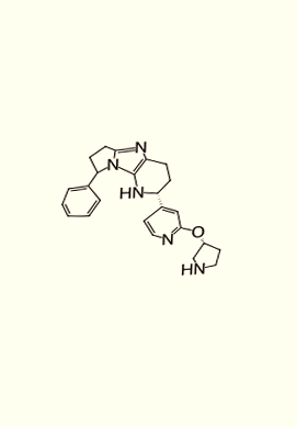 c1ccc(C2CCc3nc4c(n32)N[C@@H](c2ccnc(O[C@@H]3CCNC3)c2)CC4)cc1